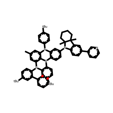 Cc1cc2c3c(c1)N(c1ccc(C(C)(C)C)cc1-c1ccccc1)c1cc(C(C)(C)C)ccc1B3c1ccc(N3c4ccc(-c5cccnc5)cc4C4(C)CCCCC34C)cc1N2c1ccc(C(C)(C)C)cc1